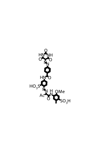 COc1cc(S(=O)(=O)O)c(C)cc1NC(=O)C(/N=N/c1ccc(NC(=O)c2ccc(/N=N/C3C(=O)NC(=O)NC3=O)cc2)cc1S(=O)(=O)O)C(C)=O